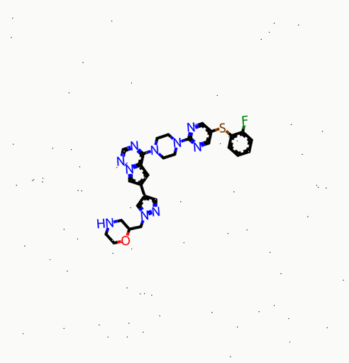 Fc1ccccc1Sc1cnc(N2CCN(c3ncnn4cc(-c5cnn(CC6CNCCO6)c5)cc34)CC2)nc1